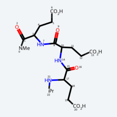 CNC(=O)C(CCC(=O)O)NC(=O)C(CCC(=O)O)NC(=O)C(CCC(=O)O)NC(C)C